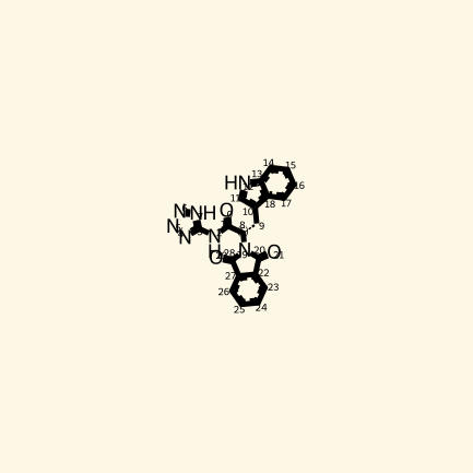 O=C(Nc1nnn[nH]1)[C@H](Cc1c[nH]c2ccccc12)N1C(=O)c2ccccc2C1=O